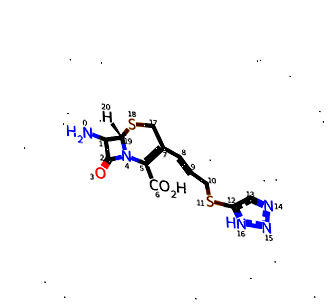 NC1C(=O)N2C(C(=O)O)=C(C=CCSc3cnn[nH]3)CS[C@@H]12